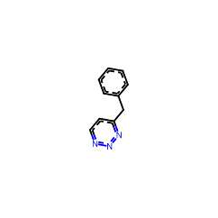 c1ccc(Cc2ccnnn2)cc1